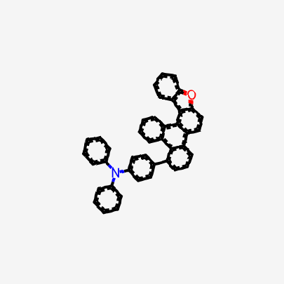 c1ccc(N(c2ccccc2)c2ccc(-c3cccc4c5ccc6oc7ccccc7c6c5c5ccccc5c34)cc2)cc1